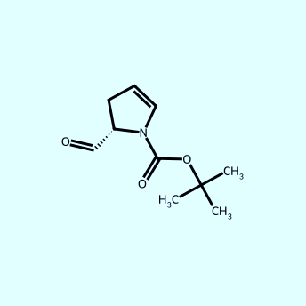 CC(C)(C)OC(=O)N1C=CC[C@H]1C=O